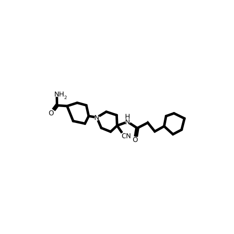 N#CC1(NC(=O)[CH]CC2CCCCC2)CCN(C2CCC(C(N)=O)CC2)CC1